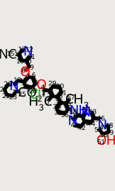 Cc1c(COc2cc(OCc3cncc(C#N)c3)c(CN3CCCCC3C(=O)O)cc2Cl)cccc1-c1cccc(Nc2nccc3cc(CN4CCC(O)C4)cnc23)c1C